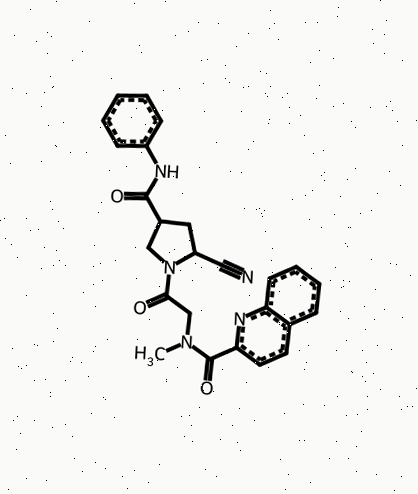 CN(CC(=O)N1CC(C(=O)Nc2ccccc2)CC1C#N)C(=O)c1ccc2ccccc2n1